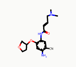 CN(C)C/C=C/C(=O)Nc1cc(C#N)c(N)cc1OC1CCOC1